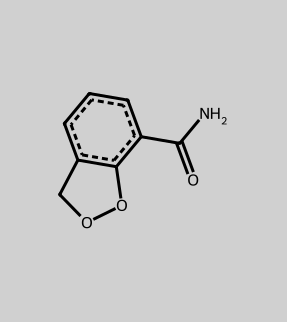 NC(=O)c1cccc2c1OOC2